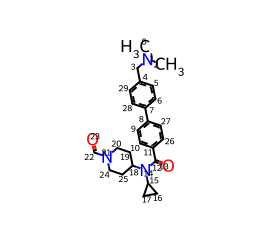 CN(C)Cc1ccc(-c2ccc(C(=O)N(C3CC3)C3CCN(C=O)CC3)cc2)cc1